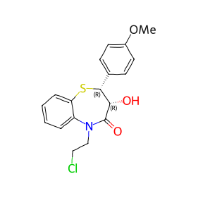 COc1ccc([C@H]2Sc3ccccc3N(CCCl)C(=O)[C@H]2O)cc1